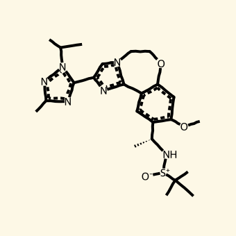 COc1cc2c(cc1[C@@H](C)N[S+]([O-])C(C)(C)C)-c1nc(-c3nc(C)nn3C(C)C)cn1CCO2